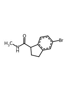 CNC(=O)C1CCc2cc(Br)ccc21